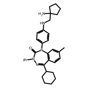 Cc1ccc2c(c1)N(c1ccc(NCC3(N)CCCC3)cc1)C(=O)N(C(C)C)N=C2C1CCCCC1